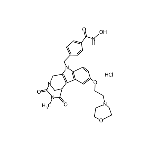 CN1C(=O)C2CN(Cc3c2c2cc(OCCN4CCOCC4)ccc2n3Cc2ccc(C(=O)NO)cc2)C1=O.Cl